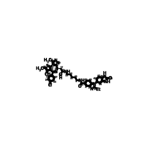 CCc1nc2cc(C(=O)NCCCCCNC(O)C[C@@H]3N=C(c4ccc(Cl)cc4)c4c(sc(C)c4C)-n4c(C)nnc43)ccc2n1-c1ccc2[nH]c(=O)[nH]c2c1